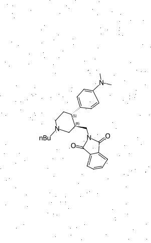 CCCCN1CC[C@H](c2ccc(N(C)C)cc2)[C@@H](CN2C(=O)c3ccccc3C2=O)C1